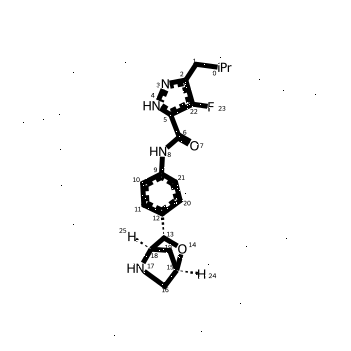 CC(C)Cc1n[nH]c(C(=O)Nc2ccc([C@@H]3O[C@H]4CN[C@@H]3C4)cc2)c1F